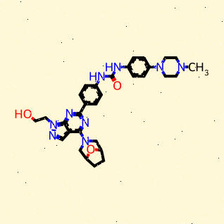 CN1CCN(c2ccc(NC(=O)Nc3ccc(-c4nc(N5CC6CCC(C5)O6)c5cnn(CCO)c5n4)cc3)cc2)CC1